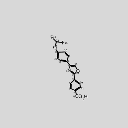 O=C(O)c1ccc(-c2nc(-c3ccc(OC(F)F)cc3)co2)cc1